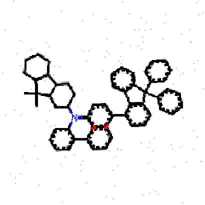 CC1(C)C2CCCCC2C2CCC(N(c3ccc(-c4cccc5c4-c4ccccc4C5(c4ccccc4)c4ccccc4)cc3)c3ccccc3-c3ccccc3)CC21